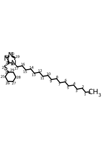 CCCCCCCCCCCCCCCCCCn1cnnc1SC1CCCCC1